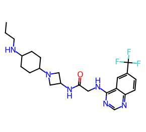 CCCNC1CCC(N2CC(NC(=O)CNc3ncnc4ccc(C(F)(F)F)cc34)C2)CC1